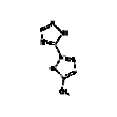 Cc1cn[n+](-c2ncn[nH]2)[nH]1